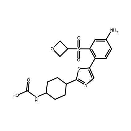 Nc1ccc(-c2cnc(C3CCC(NC(=O)O)CC3)s2)c(S(=O)(=O)C2COC2)c1